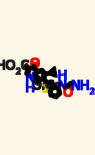 COc1c(-c2cc3c(s2)CCCC3NC(=O)CN)c(C2CC2)cc2c(=O)c(C(=O)O)c[nH]c12